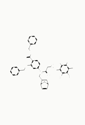 CN(CC(=O)N(CC1CC2C=CC1C2)c1ccc(C(=O)OCc2ccccc2)c(OCc2ccccc2)c1)Sc1c(F)c(F)c(F)c(P)c1F